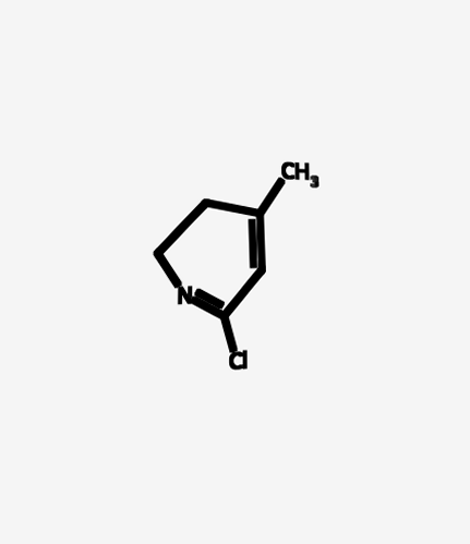 CC1=CC(Cl)=NCC1